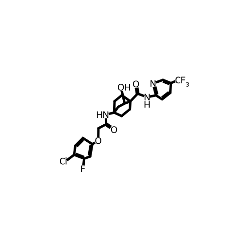 O=C(COc1ccc(Cl)c(F)c1)NC12CCC(C(=O)Nc3ccc(C(F)(F)F)cn3)(CC1)C(O)C2